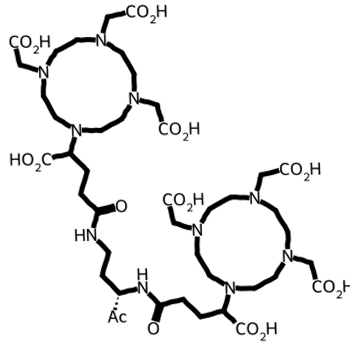 CC(=O)[C@H](CCNC(=O)CCC(C(=O)O)N1CCN(CC(=O)O)CCN(CC(=O)O)CCN(CC(=O)O)CC1)NC(=O)CCC(C(=O)O)N1CCN(CC(=O)O)CCN(CC(=O)O)CCN(CC(=O)O)CC1